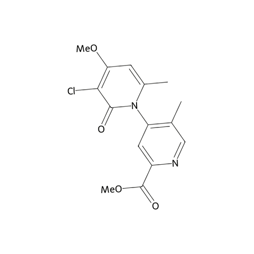 COC(=O)c1cc(-n2c(C)cc(OC)c(Cl)c2=O)c(C)cn1